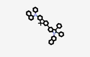 CC1(C)c2cc(-c3ccc4c(c3)c(-c3ccccc3)c(-c3ccccc3)n4-c3ccc4ccccc4c3)ccc2-c2ccc(N(c3ccccc3)c3cccc4ccccc34)cc21